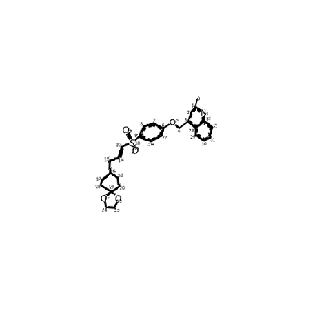 Cc1cc(COc2ccc(S(=O)(=O)C=CCC3CCC4(CC3)OCCO4)cc2)c2ccccc2n1